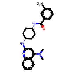 CN(C)c1cc(N[C@H]2CC[C@@H](NC(=O)c3cccc([N+](=O)[O-])c3)CC2)nc2ccccc12